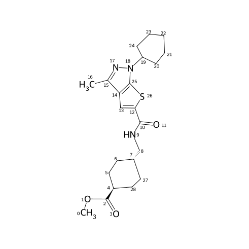 COC(=O)[C@H]1CC[C@H](CNC(=O)c2cc3c(C)nn(C4CCCCC4)c3s2)CC1